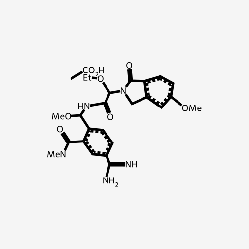 CC(=O)O.CCOC(C(=O)NC(OC)c1ccc(C(=N)N)cc1C(=O)NC)N1Cc2cc(OC)ccc2C1=O